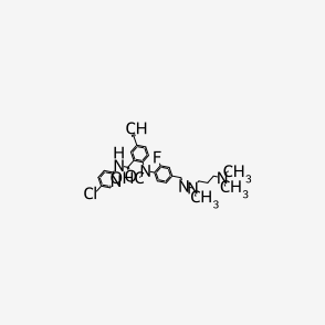 C#Cc1ccc(N(C=O)c2ccc(C=NN(C)CCCN(C)C)cc2F)c(C(=O)Nc2ccc(Cl)cn2)c1